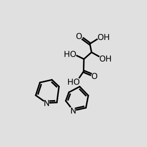 O=C(O)C(O)C(O)C(=O)O.c1ccncc1.c1ccncc1